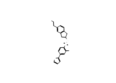 CCOC(=O)CCc1ccc2c(c1)CC(NS(=O)(=O)c1ccc(-c3cccs3)cc1C(F)(F)F)C2